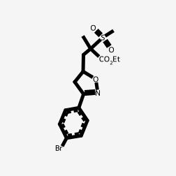 CCOC(=O)C(C)(CC1CC(c2ccc(Br)cc2)=NO1)S(C)(=O)=O